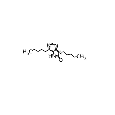 CCCCCc1ncnc2c1[nH]c(=O)n2CCCCC